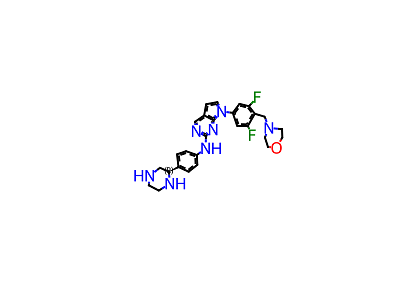 Fc1cc(-n2ccc3cnc(Nc4ccc([C@@H]5CNCCN5)cc4)nc32)cc(F)c1CN1CCOCC1